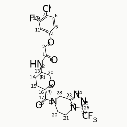 O=C(COc1ccc(Cl)c(F)c1)N[C@@H]1CC[C@H](C(=O)N2CCn3c(nnc3C(F)(F)F)C2)OC1